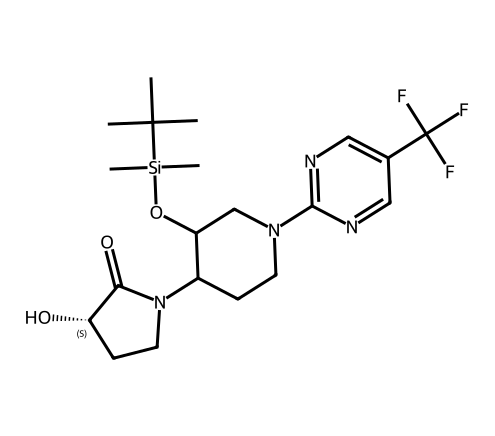 CC(C)(C)[Si](C)(C)OC1CN(c2ncc(C(F)(F)F)cn2)CCC1N1CC[C@H](O)C1=O